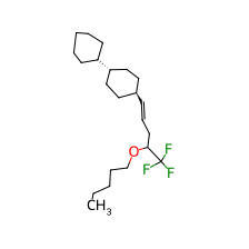 CCCCCOC(CC=C[C@H]1CC[C@H](C2CCCCC2)CC1)C(F)(F)F